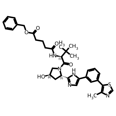 Cc1ncsc1-c1cccc(-c2cnc([C@@H]3C[C@@H](O)CN3C(=O)[C@@H](NC(=O)CCCC(=O)OCc3ccccc3)C(C)(C)C)[nH]2)c1